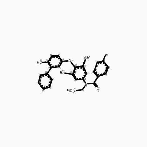 Cc1ccc(C(=O)N(CC(=O)O)c2cc(Br)c(Oc3ccc(O)c(-c4ccccc4)c3)c(Br)c2)cc1